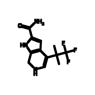 CC(C)(C1=CNCc2[nH]c(C(N)=O)cc21)C(F)(F)F